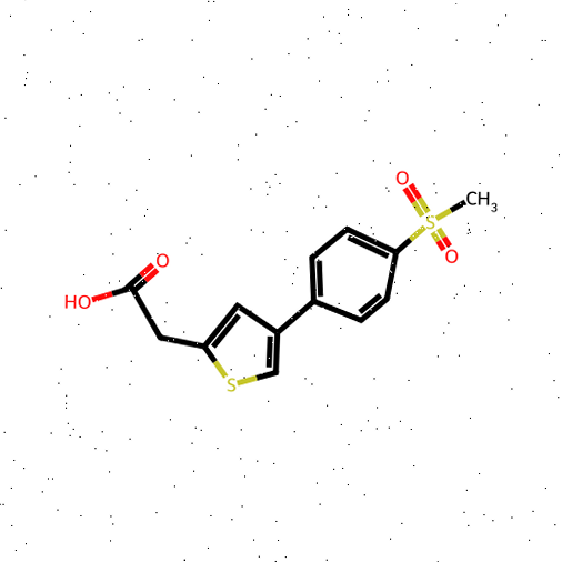 CS(=O)(=O)c1ccc(-c2csc(CC(=O)O)c2)cc1